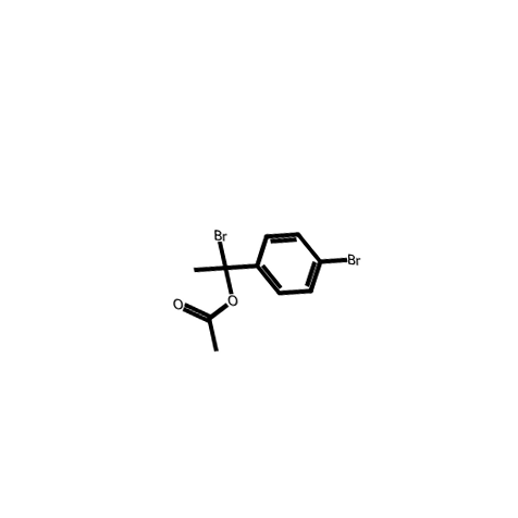 CC(=O)OC(C)(Br)c1ccc(Br)cc1